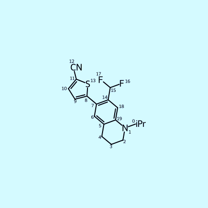 CC(C)N1CCCc2cc(-c3ccc(C#N)s3)c(C(F)F)cc21